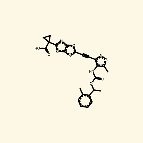 Cc1ccccc1C(C)OC(=O)Nc1c(C#Cc2nc3oc(C4(C(=O)O)CC4)nc3o2)nsc1C